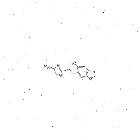 Cc1c[nH]c(CCc2cc3c(cc2O)CCO3)n1